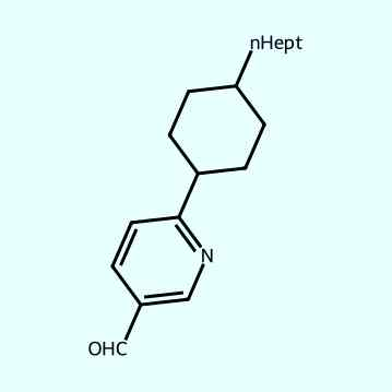 CCCCCCCC1CCC(c2ccc(C=O)cn2)CC1